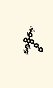 c1ccc(-c2ccc(-c3ccc4c(-c5ccc(-c6cscn6)nc5)c5ccccc5c(-c5ccc(-c6cscn6)nc5)c4c3)cc2)cc1